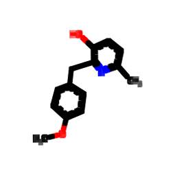 COc1ccc(Cc2nc(C)ccc2O)cc1